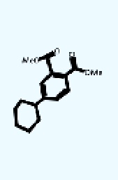 COC(=O)c1ccc(C2CCCCC2)cc1C(=O)OC